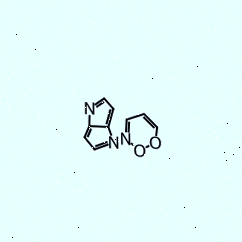 C1=COON=C1.C1=NC2=CC=NC2=C1